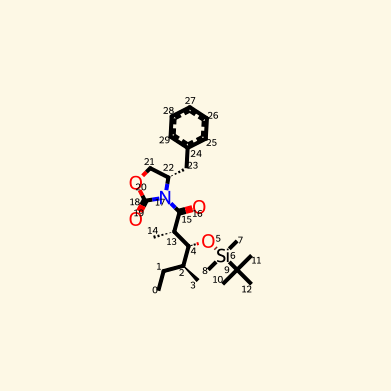 CC[C@H](C)[C@@H](O[Si](C)(C)C(C)(C)C)[C@H](C)C(=O)N1C(=O)OC[C@@H]1Cc1ccccc1